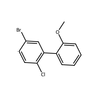 COc1ccccc1-c1cc(Br)[c]cc1Cl